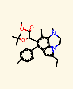 CCc1cc2c(-c3ccc(C)cc3)c([C@H](OC(C)(C)C)C(=O)OC)c(C)c3c2n1CCN3C